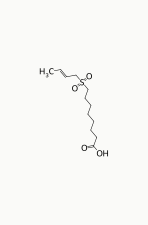 CC=CCS(=O)(=O)CCCCCCCC(=O)O